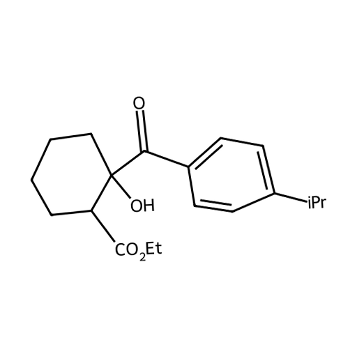 CCOC(=O)C1CCCCC1(O)C(=O)c1ccc(C(C)C)cc1